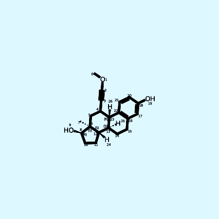 COC#CC1C[C@]2(C)[C@H](O)CC[C@H]2[C@@H]2CCc3cc(O)ccc3[C@@H]12